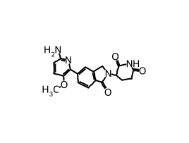 COc1ccc(N)nc1-c1ccc2c(c1)CN(C1CCC(=O)NC1=O)C2=O